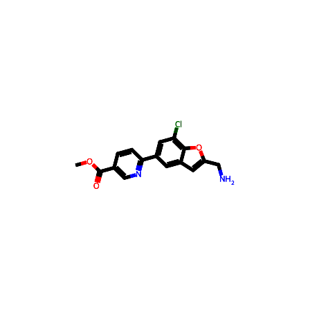 COC(=O)c1ccc(-c2cc(Cl)c3oc(CN)cc3c2)nc1